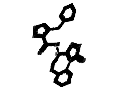 O=C(N[C@H]1COc2ccccc2-n2c1noc2=O)c1nocc1Cc1ccccc1